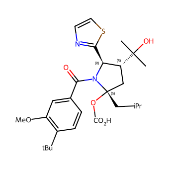 COc1cc(C(=O)N2[C@@H](c3nccs3)[C@H](C(C)(C)O)C[C@]2(CC(C)C)OC(=O)O)ccc1C(C)(C)C